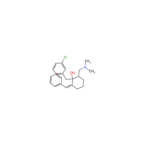 CN(C)CC1CCC/C(=C/c2ccccc2)C1(O)Cc1cccc(Cl)c1